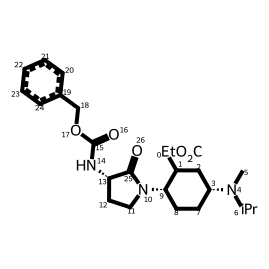 CCOC(=O)C1C[C@H](N(C)C(C)C)CC[C@@H]1N1CC[C@H](NC(=O)OCc2ccccc2)C1=O